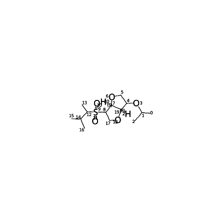 CC(C)OC1CO[C@@H]2C(S(=O)(=O)C(C)C(C)C)CO[C@H]12